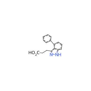 O=C(O)CCc1n[nH]c2cccc(-c3ccccc3)c12